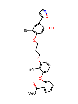 CCCc1c(OCCCOc2cc(O)c(-c3ccno3)cc2CC)cccc1Oc1ccccc1C(=O)OC